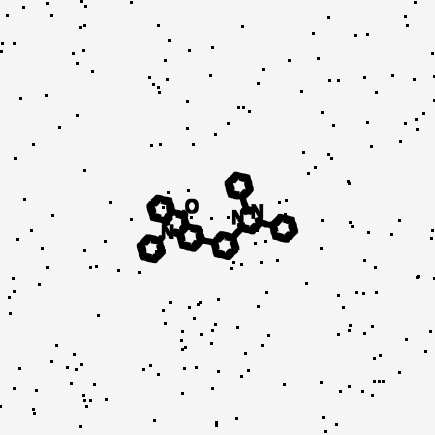 O=c1c2ccccc2n(-c2ccccc2)c2ccc(-c3cccc(-c4cc(-c5ccccc5)nc(-c5ccccc5)n4)c3)cc12